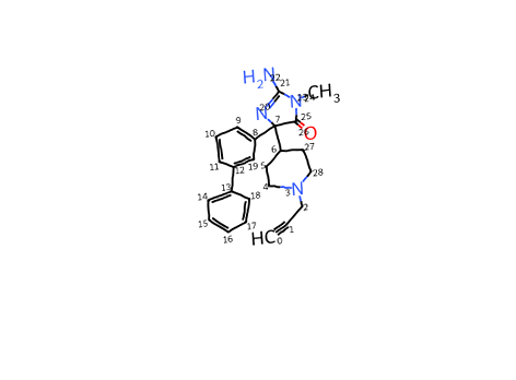 C#CCN1CCC(C2(c3cccc(-c4ccccc4)c3)N=C(N)N(C)C2=O)CC1